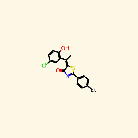 CCc1ccc(C2=NC(=O)C(=C(C)c3cc(Cl)ccc3O)S2)cc1